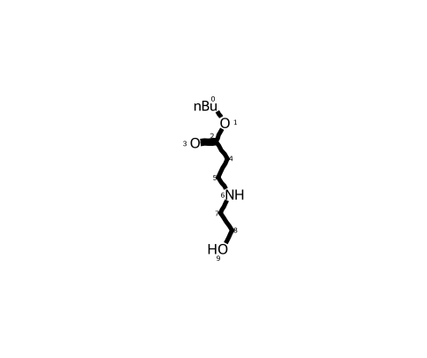 CCCCOC(=O)CCNCCO